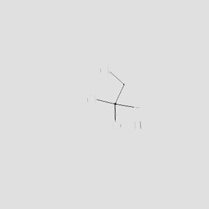 O=C(O)C(F)(Cl)CCl